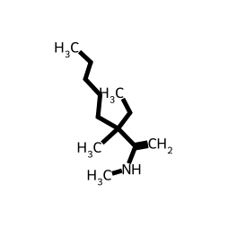 C=C(NC)C(C)(CC)CCCCC